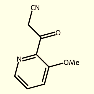 COc1cccnc1C(=O)CC#N